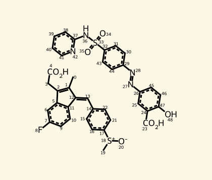 CC1=C(CC(=O)O)c2cc(F)ccc2/C1=C\c1ccc([S+](C)[O-])cc1.O=C(O)c1cc(N=Nc2ccc(S(=O)(=O)Nc3ccccn3)cc2)ccc1O